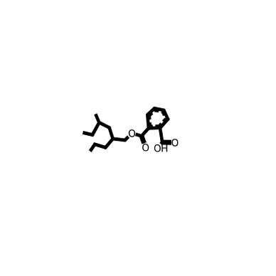 CCCC(COC(=O)c1ccccc1C(=O)O)CC(C)CC